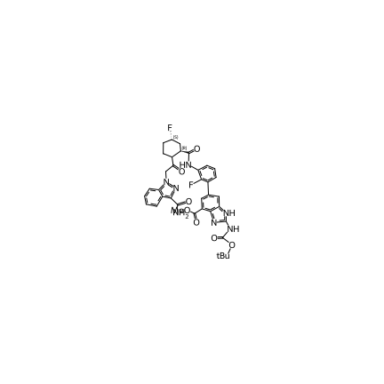 COC(=O)c1cc(-c2cccc(NC(=O)[C@@H]3C[C@@H](F)CCC3C(=O)Cn3nc(C(N)=O)c4ccccc43)c2F)cc2[nH]c(NC(=O)OC(C)(C)C)nc12